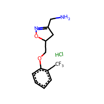 Cl.NCC1=NOC(COc2ccccc2C(F)(F)F)C1